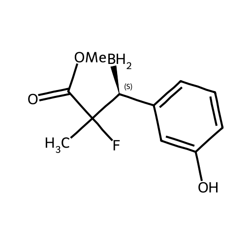 B[C@@H](c1cccc(O)c1)C(C)(F)C(=O)OC